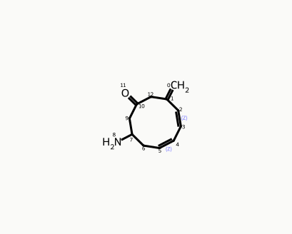 C=C1/C=C\C=C/CC(N)CC(=O)C1